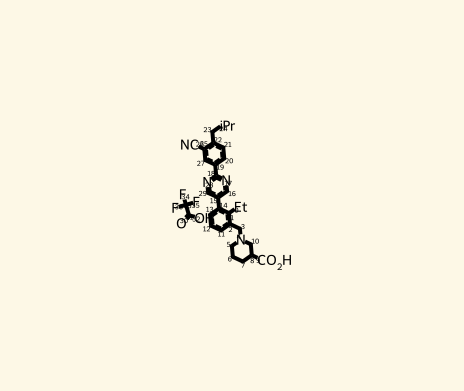 CCc1c(CN2CCCC(C(=O)O)C2)cccc1-c1cnc(-c2ccc(CC(C)C)c(C#N)c2)nc1.O=C(O)C(F)(F)F